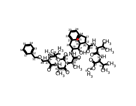 COC(=O)C(NC(=O)[C@H](NC(=O)[C@@H]1CCCC1C(O)C(Cc1ccccc1)NC(=O)[C@H](C)N(C(=O)OC(C)(C)C)C(=O)[C@H](C)NC(=O)[C@@H](N)COCc1ccccc1)C(C)C)C(C)C